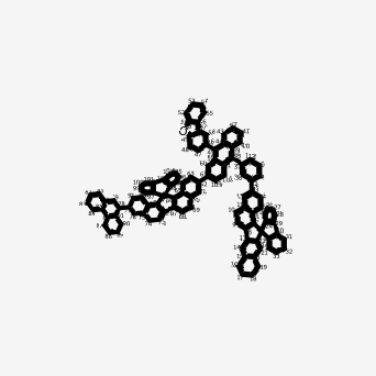 c1cc(-c2ccc3c4c(ccc3c2)-c2cc3ccccc3cc2C42c3ccccc3-c3ccccc32)cc(-c2c3ccccc3c(-c3ccc4oc5ccccc5c4c3)c3cc(-c4ccc5c6c(ccc5c4)-c4ccc5cc(-c7cc8ccccc8c8ccccc78)ccc5c4C64c5ccccc5-c5ccccc54)ccc23)c1